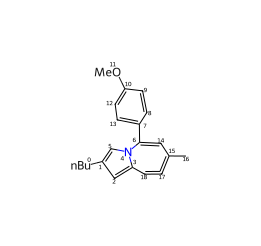 CCCCc1cc2n(c1)C(c1ccc(OC)cc1)=CC(C)=C=C2